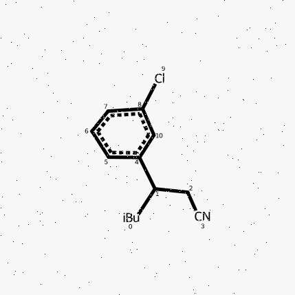 CCC(C)C(CC#N)c1cccc(Cl)c1